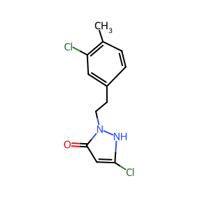 Cc1ccc(CCn2[nH]c(Cl)cc2=O)cc1Cl